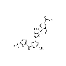 Cc1cc(Nc2nccc(C(F)(F)F)n2)cc(-c2cnc(C3(O)CCCc4cc(C(=O)O)ccc43)s2)n1